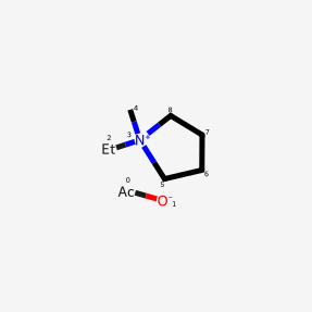 CC(=O)[O-].CC[N+]1(C)CCCC1